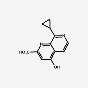 O=C(O)c1cc(O)c2ccnc(C3CC3)c2n1